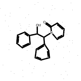 O=c1ccccn1C(c1ccccc1)C(O)c1ccccc1